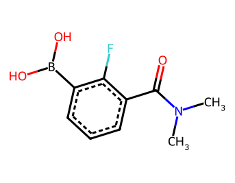 CN(C)C(=O)c1cccc(B(O)O)c1F